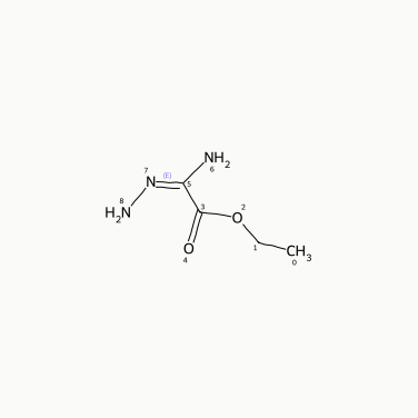 CCOC(=O)/C(N)=N\N